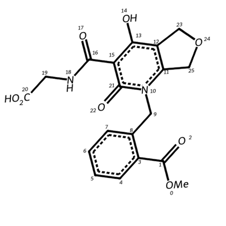 COC(=O)c1ccccc1Cn1c2c(c(O)c(C(=O)NCC(=O)O)c1=O)COC2